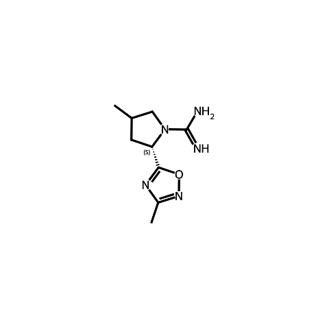 Cc1noc([C@@H]2CC(C)CN2C(=N)N)n1